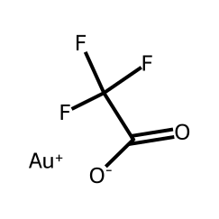 O=C([O-])C(F)(F)F.[Au+]